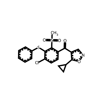 CS(=O)(=O)c1c(C(=O)c2cnoc2C2CC2)ccc(Cl)c1Sc1ccccc1